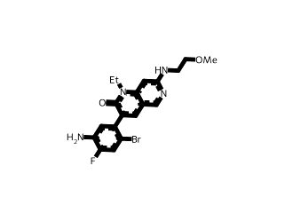 CCn1c(=O)c(-c2cc(N)c(F)cc2Br)cc2cnc(NCCOC)cc21